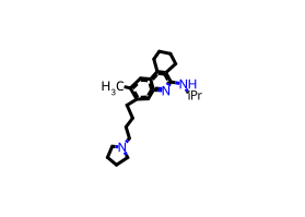 Cc1cc2c3c(c(NC(C)C)nc2cc1CCCCN1CCCC1)CCCC3